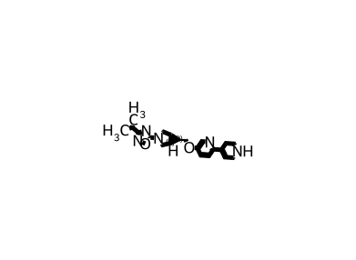 CC(C)c1noc(N2CC3[C@@H](COc4ccc(C5=CCNCC5)nc4)[C@@H]3C2)n1